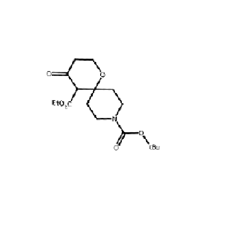 CCOC(=O)C1C(=O)CCOC12CCN(C(=O)OC(C)(C)C)CC2